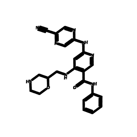 N#Cc1cnc(Nc2cc(NCC3CNCCO3)c(C(=O)Nc3ccccc3)cn2)cn1